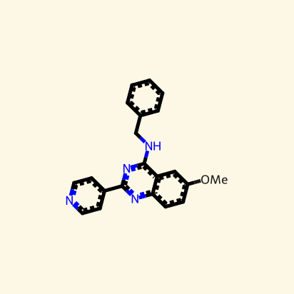 COc1ccc2nc(-c3ccncc3)nc(NCc3ccccc3)c2c1